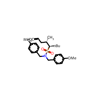 C=CC[C@H](C)[C@@H](CCCC)S(=O)(=O)N(Cc1ccc(OC)cc1)Cc1ccc(OC)cc1